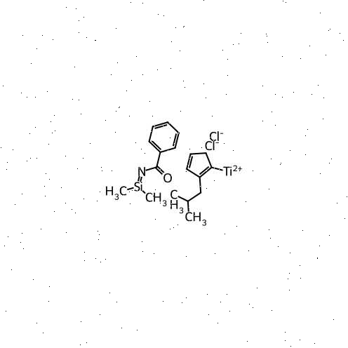 CC(C)CC1=[C]([Ti+2])CC=C1.C[Si](C)=NC(=O)c1ccccc1.[Cl-].[Cl-]